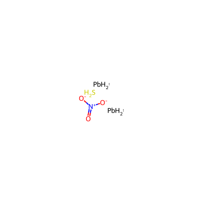 O=[N+]([O-])[O-].S.[PbH2].[PbH2]